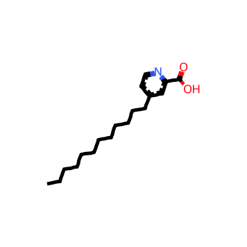 CCCCCCCCCCCCc1ccnc(C(=O)O)c1